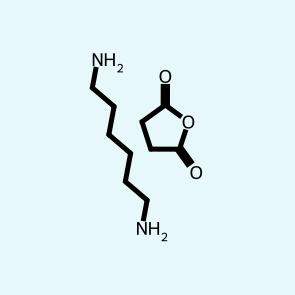 NCCCCCCN.O=C1CCC(=O)O1